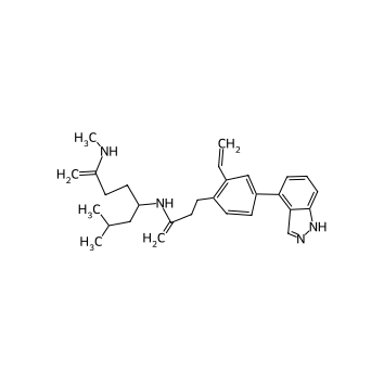 C=Cc1cc(-c2cccc3[nH]ncc23)ccc1CCC(=C)NC(CCC(=C)NC)CC(C)C